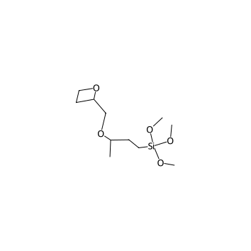 CO[Si](CCC(C)OCC1CCO1)(OC)OC